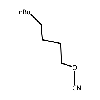 CCCCCCCCOC#N